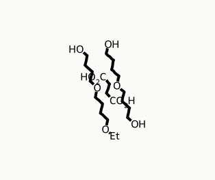 CCOCCCCOCCCCO.O=C(O)CCC(=O)O.OCCCCOCCCCO